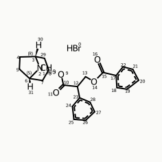 Br.CN1[C@@H]2CC[C@H]1C[C@@H](OC(=O)C(COC(=O)c1ccccc1)c1ccccc1)C2